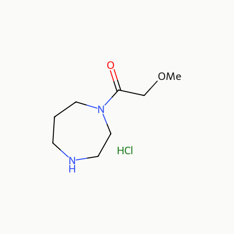 COCC(=O)N1CCCNCC1.Cl